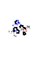 C=C/C(=C\C=C(/C)OC1CCC1)Nc1ncc(F)c(N[C@@H]2C[C@@H]3CCCN3C(C)(C)C2)n1